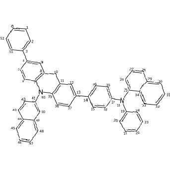 c1ccc(-c2ccc3c(c2)Cc2cc(-c4ccc(N(c5ccccc5)c5cccc6ccccc56)cc4)ccc2N3c2ccc3ccccc3c2)cc1